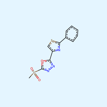 CS(=O)(=O)c1nnc(-c2csc(-c3ccccc3)n2)o1